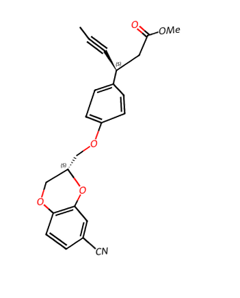 CC#C[C@@H](CC(=O)OC)c1ccc(OC[C@H]2COc3ccc(C#N)cc3O2)cc1